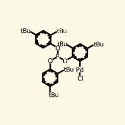 CC(C)(C)c1ccc(OP(Oc2ccc(C(C)(C)C)cc2C(C)(C)C)Oc2[c]([Pd][Cl])cc(C(C)(C)C)cc2C(C)(C)C)c(C(C)(C)C)c1